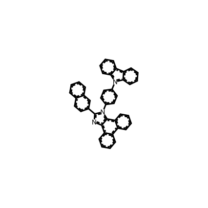 c1ccc2cc(-c3nc4c5ccccc5c5ccccc5c4n3-c3ccc(-n4c5ccccc5c5ccccc54)cc3)ccc2c1